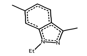 CCn1nc(C)c2ccc(C)cc21